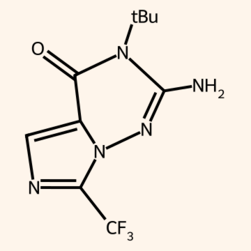 CC(C)(C)n1c(N)nn2c(C(F)(F)F)ncc2c1=O